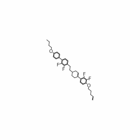 C=CCCCOc1ccc(C2=CCC(CCc3ccc(-c4ccc(OCCCC)cc4)c(F)c3F)CC2)c(F)c1F